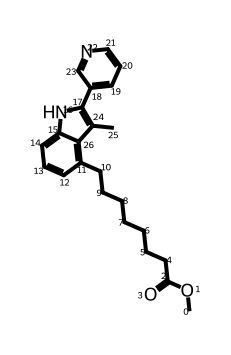 COC(=O)CCCCCCCc1cccc2[nH]c(-c3cccnc3)c(C)c12